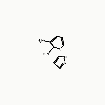 NC1=CC=COC1N.c1cn[nH]c1